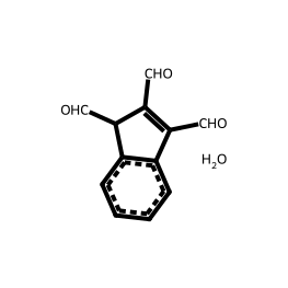 O.O=CC1=C(C=O)C(C=O)c2ccccc21